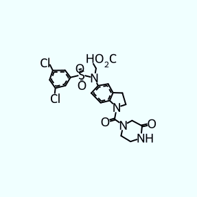 O=C(O)CN(c1ccc2c(c1)CCN2C(=O)N1CCNC(=O)C1)S(=O)(=O)c1cc(Cl)cc(Cl)c1